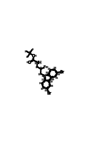 CC(C)(C)OC(=O)NCC(F)Cn1c2ccc(Br)cc2c2cc(Br)ccc21